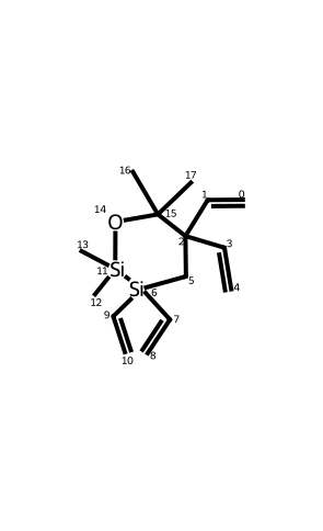 C=CC1(C=C)C[Si](C=C)(C=C)[Si](C)(C)OC1(C)C